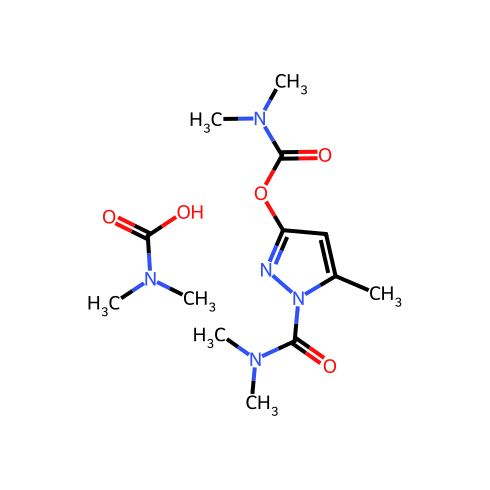 CN(C)C(=O)O.Cc1cc(OC(=O)N(C)C)nn1C(=O)N(C)C